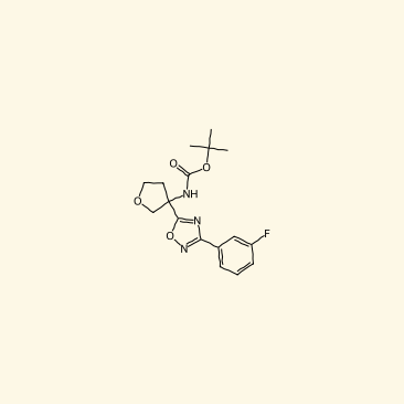 CC(C)(C)OC(=O)NC1(c2nc(-c3cccc(F)c3)no2)CCOC1